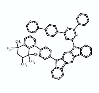 CC1CC(C)(C)c2cccc(-c3ccc(-n4c5ccccc5c5cc6c7ccccc7n(-c7nc(-c8ccccc8)nc(-c8ccc(-c9ccccc9)cc8)n7)c6cc54)cc3)c2C1(C)C